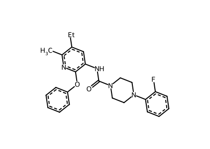 CCc1cc(NC(=O)N2CCN(c3ccccc3F)CC2)c(Oc2ccccc2)nc1C